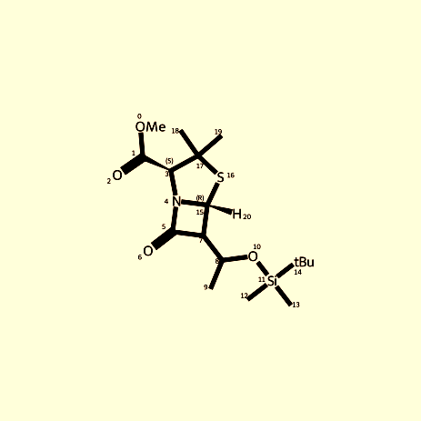 COC(=O)[C@@H]1N2C(=O)C(C(C)O[Si](C)(C)C(C)(C)C)[C@H]2SC1(C)C